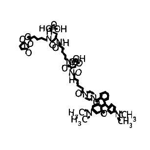 CCN(CC)c1ccc2c(-c3ccccc3C(=O)N3CCN(C(=O)CCCCC(=O)NC(CS(=O)(=O)O)C(=O)NCCCCC(=O)NC(CCP(=O)(O)O)C(=O)NCCCCC(=O)ON4C(=O)CCC4=O)CC3)c3ccc(N(CC)CC)cc3[o+]c2c1